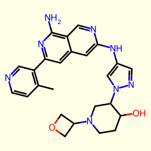 Cc1ccncc1-c1cc2cc(Nc3cnn(C4CN(C5COC5)CCC4O)c3)ncc2c(N)n1